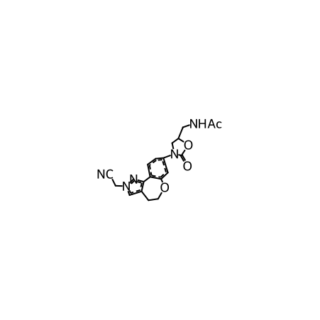 CC(=O)NCC1CN(c2ccc3c(c2)OCCc2cn(CC#N)nc2-3)C(=O)O1